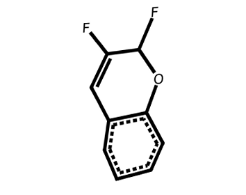 FC1=Cc2ccccc2OC1F